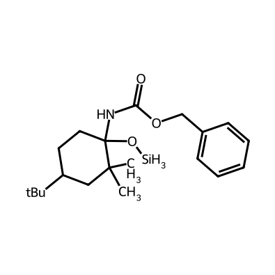 CC(C)(C)C1CCC(NC(=O)OCc2ccccc2)(O[SiH3])C(C)(C)C1